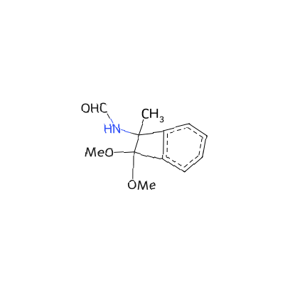 COC1(OC)c2ccccc2C1(C)NC=O